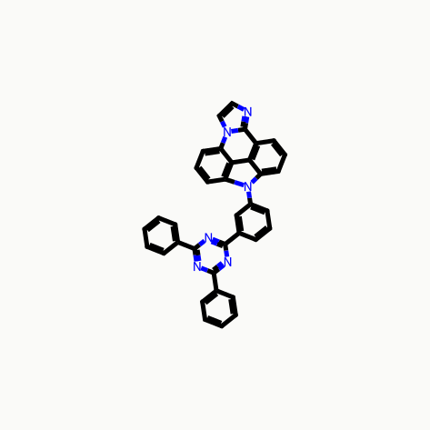 c1ccc(-c2nc(-c3ccccc3)nc(-c3cccc(-n4c5cccc6c5c5c4cccc5n4ccnc64)c3)n2)cc1